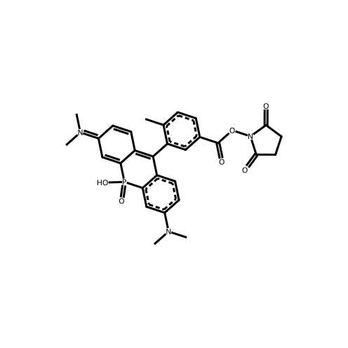 Cc1ccc(C(=O)ON2C(=O)CCC2=O)cc1C1=C2C=CC(=[N+](C)C)C=C2P(=O)(O)c2cc(N(C)C)ccc21